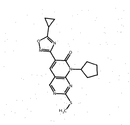 CSc1ncc2cc(-c3noc(C4CC4)n3)c(=O)n(C3CCCC3)c2n1